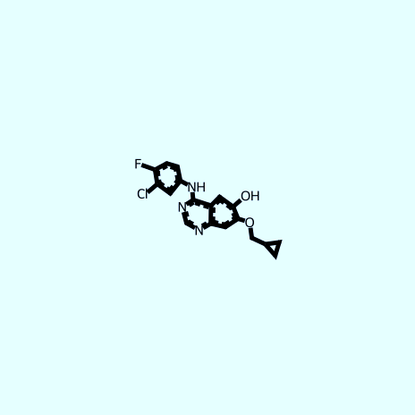 Oc1cc2c(Nc3ccc(F)c(Cl)c3)ncnc2cc1OCC1CC1